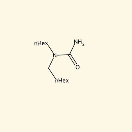 CCCCCCCN(CCCCCC)C(N)=O